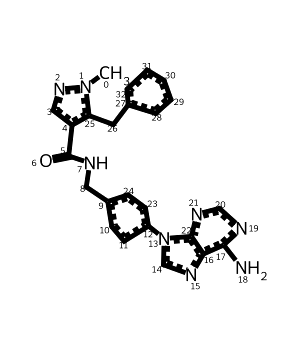 Cn1ncc(C(=O)NCc2ccc(-n3cnc4c(N)ncnc43)cc2)c1Cc1ccccc1